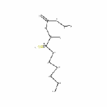 C=C(CCC)CC(C)C(=S)CCCCCC